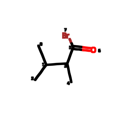 CC(C)C(C)C(=O)Br